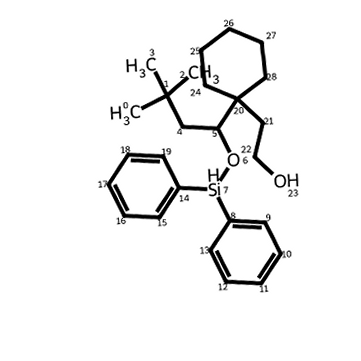 CC(C)(C)CC(O[SiH](c1ccccc1)c1ccccc1)C1(CCO)CCCCC1